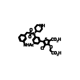 CC(=O)Nc1cccc(CS(=O)(=O)N(c2cccc(-c3sc(C(=O)O)c(OCC(=O)O)c3Cl)c2)C2CCNCC2)c1